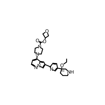 CCO[C@]1(c2ccc(-c3cc4c(N5CCN(C(=O)OC6COC6)CC5)ccnn4c3)nc2)CCCNC1